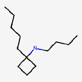 CCCCCC1([N]CCCC)CCC1